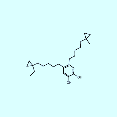 CCC1(CCCCCc2cc(O)c(O)cc2CCCCCC2(C)CC2)CC1